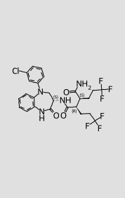 NC(=O)[C@@H](CCC(F)(F)F)[C@@H](CCC(F)(F)F)C(=O)N[C@H]1CN(c2cccc(Cl)c2)c2ccccc2NC1=O